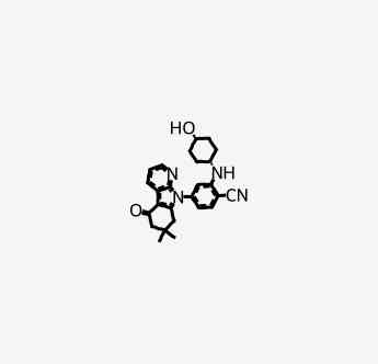 CC1(C)CC(=O)c2c(n(-c3ccc(C#N)c(N[C@H]4CC[C@H](O)CC4)c3)c3ncccc23)C1